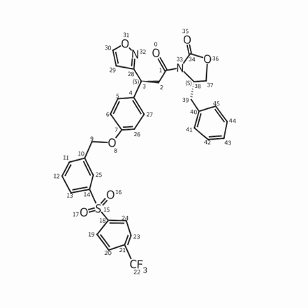 O=C(C[C@@H](c1ccc(OCc2cccc(S(=O)(=O)c3ccc(C(F)(F)F)cc3)c2)cc1)c1ccon1)N1C(=O)OC[C@@H]1Cc1ccccc1